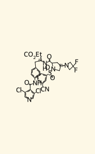 CCOC(=O)[C@H](Cc1ccc(NC(=O)c2c(Cl)cncc2Cl)cc1)NC(=O)C1C[C@@H](N2CC(F)(F)C2)CN1S(=O)(=O)c1cccc(C#N)c1